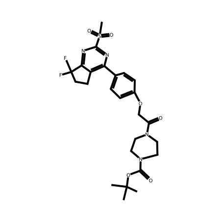 CC(C)(C)OC(=O)N1CCN(C(=O)COc2ccc(-c3nc(S(C)(=O)=O)nc4c3CCC4(F)F)cc2)CC1